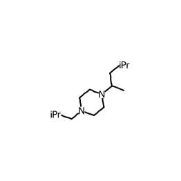 CC(C)CC(C)N1CCN(CC(C)C)CC1